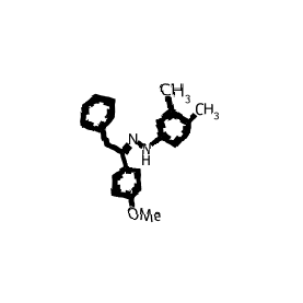 COc1ccc(/C(Cc2ccccc2)=N\Nc2ccc(C)c(C)c2)cc1